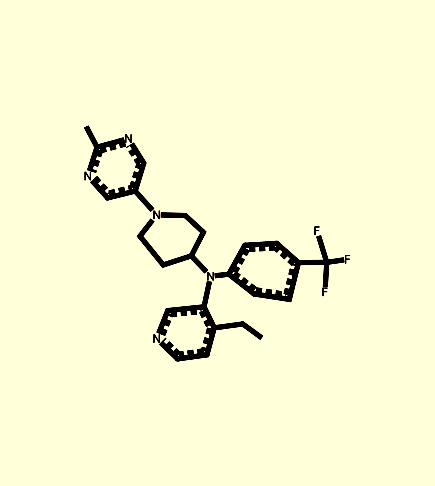 CCc1ccncc1N(c1ccc(C(F)(F)F)cc1)C1CCN(c2cnc(C)nc2)CC1